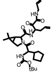 C=CCNC(=O)C(=O)C(CC=C)NC(=O)C1C2C(CN1C(=O)C(NC(=O)OC(C)(C)C)C1CCCC1)C2(C)C